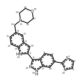 c1csc(-c2ccc3c(-c4cc5cc(CN6CCOCC6)ccc5[nH]4)n[nH]c3c2)n1